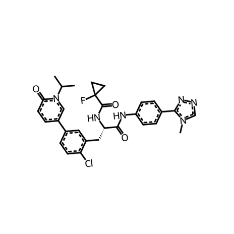 CC(C)n1cc(-c2ccc(Cl)c(C[C@H](NC(=O)C3(F)CC3)C(=O)Nc3ccc(-c4nncn4C)cc3)c2)ccc1=O